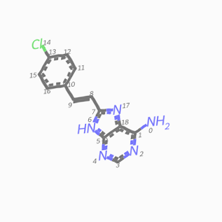 Nc1ncnc2[nH]c(/C=C/c3ccc(Cl)cc3)nc12